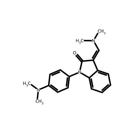 CN(C)C=C1C(=O)N(c2ccc(N(C)C)cc2)c2ccccc21